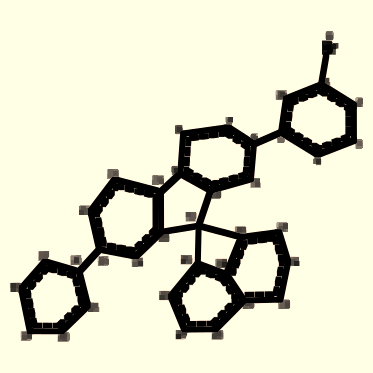 Brc1cccc(-c2ccc3c(c2)C2(c4cc(-c5ccccc5)ccc4-3)c3cccc4cccc2c34)c1